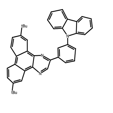 CC(C)(C)c1ccc2c3ccc(C(C)(C)C)cc3c3nc(-c4cccc(-n5c6ccccc6c6ccccc65)c4)cnc3c2c1